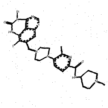 CCN1C(=O)Nc2c(F)c(CN3CCN(c4ccc(C(=O)NC5CCN(C)CC5)nc4C)CC3)cc3ncnc1c23